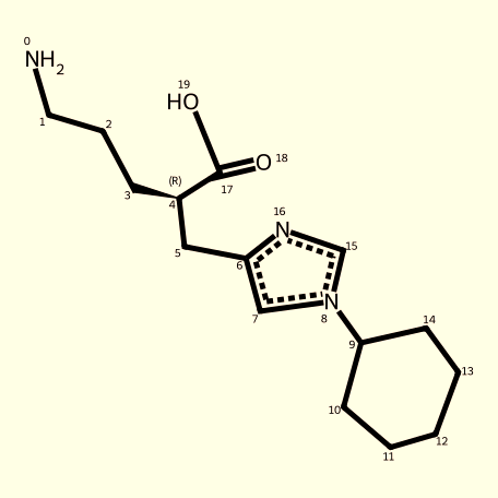 NCCC[C@H](Cc1cn(C2CCCCC2)cn1)C(=O)O